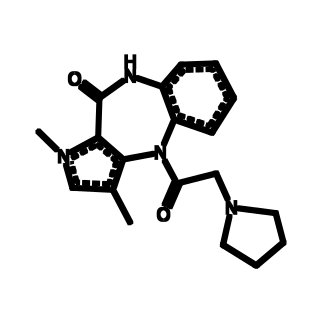 Cc1cn(C)c2c1N(C(=O)CN1CCCC1)c1ccccc1NC2=O